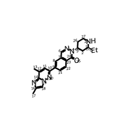 CC[C@H]1C[C@H](n2ncc3cc(-c4cc(C)c5nc(C)cn5n4)ccc3c2=O)CCN1